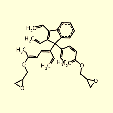 C=CC1=C(C=C)C(/C(C=C)=C/C=C(\C)OCC2CO2)(C(/C=C\C(=C)OCC2CO2)=C/C)c2ccccc21